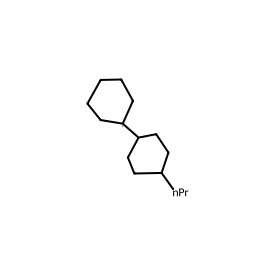 CCCC1CCC([C]2CCCCC2)CC1